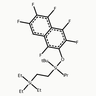 CC[Si](CC)(CC)CC[Si](Oc1c(F)c(F)c2c(F)c(F)c(F)[c]c2c1F)(C(C)C)C(C)(C)C